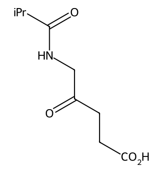 CC(C)C(=O)NCC(=O)CCC(=O)O